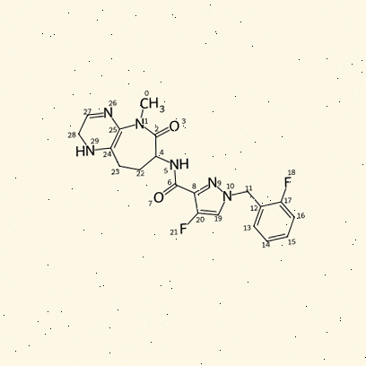 CN1C(=O)C(NC(=O)c2nn(Cc3ccccc3F)cc2F)CCC2=C1N=CCN2